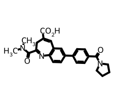 CN(C)C(=O)C1=Nc2ccc(-c3ccc(C(=O)N4CCCC4)cc3)cc2C=C(C(=O)O)C1